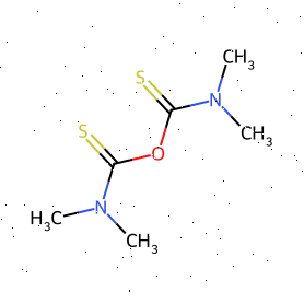 CN(C)C(=S)OC(=S)N(C)C